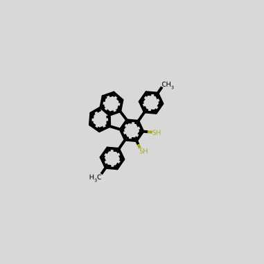 Cc1ccc(-c2c(S)c(S)c(-c3ccc(C)cc3)c3c2-c2cccc4cccc-3c24)cc1